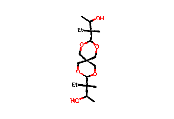 CCC(C)(C(C)O)C1OCC2(CO1)COC(C(C)(CC)C(C)O)OC2